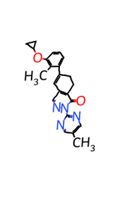 Cc1cnc(-n2ncc3c(c2=O)CCC(c2cccc(OC4CC4)c2C)=C3)nc1